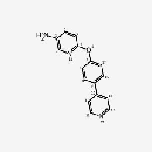 Nc1ccc(Oc2ccc(-c3ccncc3)cc2)nc1